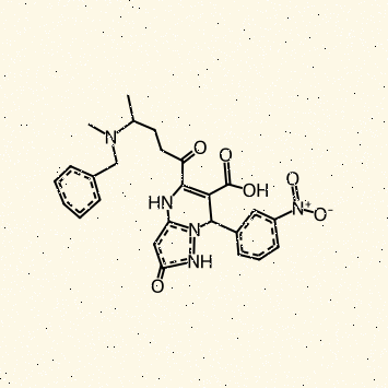 CC(CCC(=O)C1=C(C(=O)O)C(c2cccc([N+](=O)[O-])c2)n2[nH]c(=O)cc2N1)N(C)Cc1ccccc1